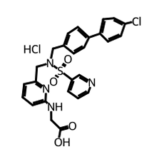 Cl.O=C(O)CNc1cccc(CN(Cc2ccc(-c3ccc(Cl)cc3)cc2)S(=O)(=O)c2cccnc2)n1